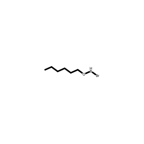 CCCCCCOBBr